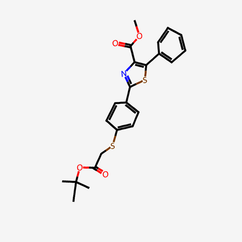 COC(=O)c1nc(-c2ccc(SCC(=O)OC(C)(C)C)cc2)sc1-c1ccccc1